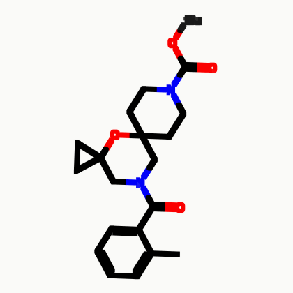 Cc1ccccc1C(=O)N1CC2(CCN(C(=O)OC(C)(C)C)CC2)OC2(CC2)C1